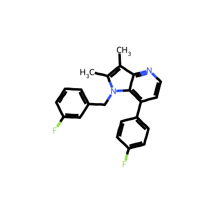 Cc1c(C)n(Cc2cccc(F)c2)c2c(-c3ccc(F)cc3)ccnc12